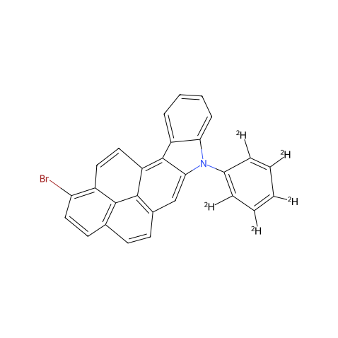 [2H]c1c([2H])c([2H])c(-n2c3ccccc3c3c4ccc5c(Br)ccc6ccc(cc32)c4c65)c([2H])c1[2H]